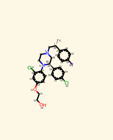 C[C@@H](CN1CCN(c2ccc(OCCO)cc2Cl)[C@H](c2ccc(Cl)cc2)C1)c1ccc(I)cc1